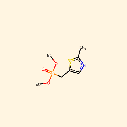 CCOP(=O)(Cc1cnc(C(F)(F)F)s1)OCC